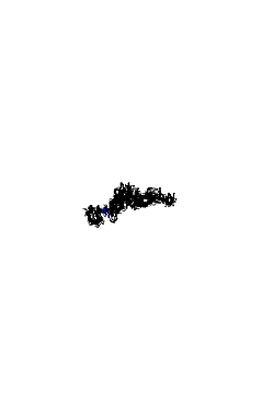 O=C(/C=C/CN1CCCCC1)N1CCc2c(sc3ncnc(Nc4ccc(OCc5cccnc5)c(Cl)c4)c23)C1